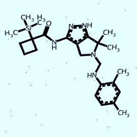 Cc1ccc(NCN2Cc3c(NC(=O)C4([Si](C)(C)C)CCC4)n[nH]c3C2(C)C)c(C)c1